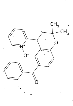 CC1(C)CC(c2cccc[n+]2[O-])c2cc(C(=O)c3ccccc3)ccc2O1